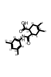 CC1=C(C)CC(C(=O)Nc2cc(C)cc(C)c2)C(C(=O)O)C1